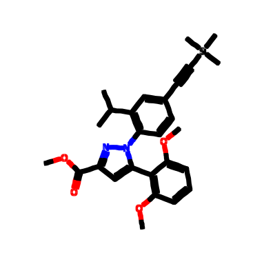 COC(=O)c1cc(-c2c(OC)cccc2OC)n(-c2ccc(C#C[Si](C)(C)C)cc2C(C)C)n1